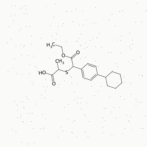 CCOC(=O)C(SC(C)C(=O)O)c1ccc(C2CCCCC2)cc1